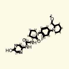 COCC1CCCCN1c1ccc(N2CCC[C@@H](NC(=O)Nc3cnc(O)cn3)C2=O)c(F)c1